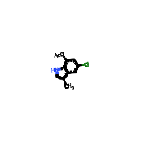 CC(=O)Oc1cc(Cl)cc2c(C)c[nH]c12